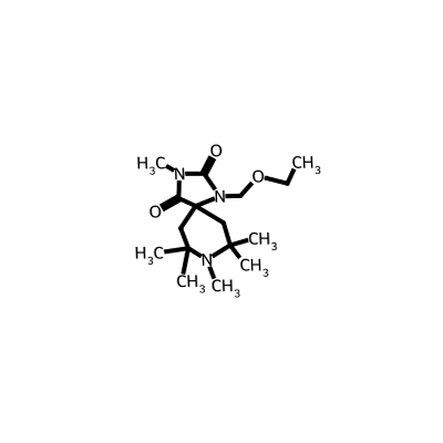 CCOCN1C(=O)N(C)C(=O)C12CC(C)(C)N(C)C(C)(C)C2